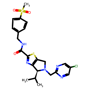 CC(C)[C@H]1c2nc(C(=O)NCc3ccc(S(C)(=O)=O)cc3)sc2CN1Cc1ncc(Cl)cn1